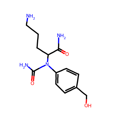 NCCCC(C(N)=O)N(C(N)=O)c1ccc(CO)cc1